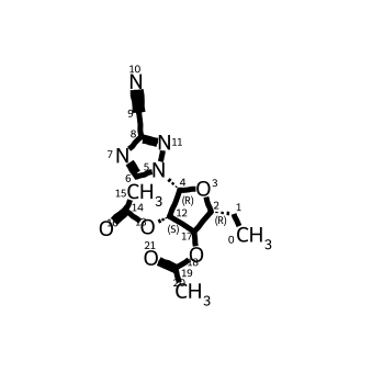 CC[C@H]1O[C@@H](n2cnc(C#N)n2)[C@@H](OC(C)=O)C1OC(C)=O